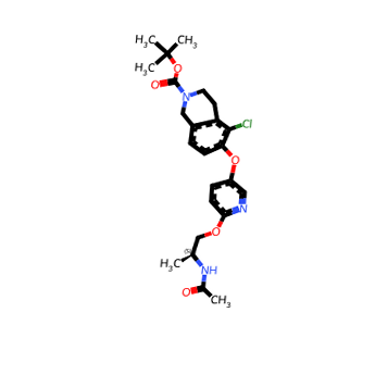 CC(=O)N[C@@H](C)COc1ccc(Oc2ccc3c(c2Cl)CCN(C(=O)OC(C)(C)C)C3)cn1